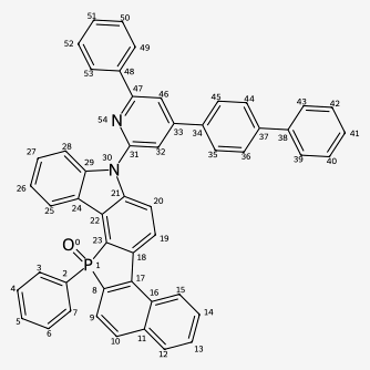 O=P1(c2ccccc2)c2ccc3ccccc3c2-c2ccc3c(c21)c1ccccc1n3-c1cc(-c2ccc(-c3ccccc3)cc2)cc(-c2ccccc2)n1